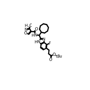 Cc1nocc1C(=O)NC(c1nc2c(F)c(CCC(=O)OC(C)(C)C)ccc2[nH]1)C1CCCCCCC1